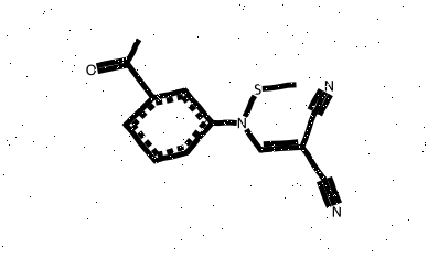 CSN(C=C(C#N)C#N)c1cccc(C(C)=O)c1